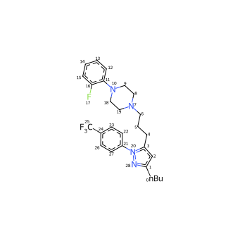 CCCCc1cc(CCCN2CCN(c3ccccc3F)CC2)n(-c2ccc(C(F)(F)F)cc2)n1